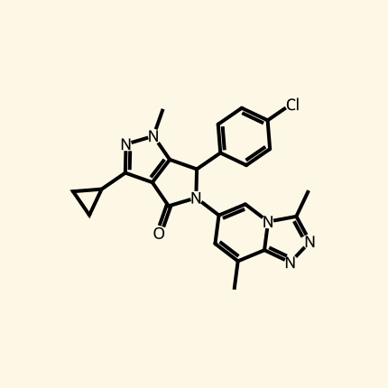 Cc1cc(N2C(=O)c3c(C4CC4)nn(C)c3C2c2ccc(Cl)cc2)cn2c(C)nnc12